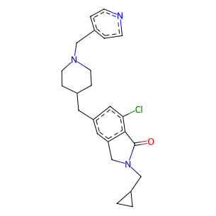 O=C1c2c(Cl)cc(CC3CCN(Cc4ccncc4)CC3)cc2CN1CC1CC1